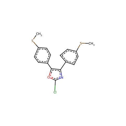 CSc1ccc(-c2nc(Cl)oc2-c2ccc(SC)cc2)cc1